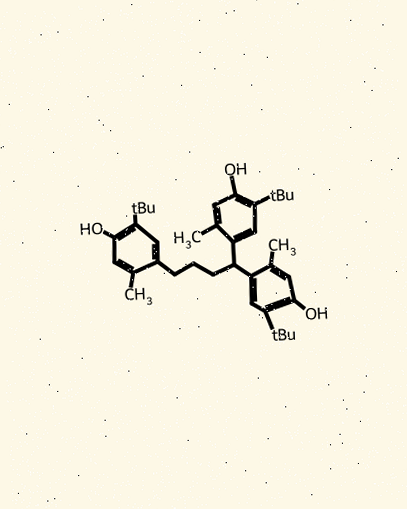 Cc1cc(O)c(C(C)(C)C)cc1CCCC(c1cc(C(C)(C)C)c(O)cc1C)c1cc(C(C)(C)C)c(O)cc1C